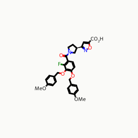 COc1ccc(COc2ccc(C(=O)N3CC[C@@H](c4cc(C(=O)O)on4)C3)c(F)c2OCc2ccc(OC)cc2)cc1